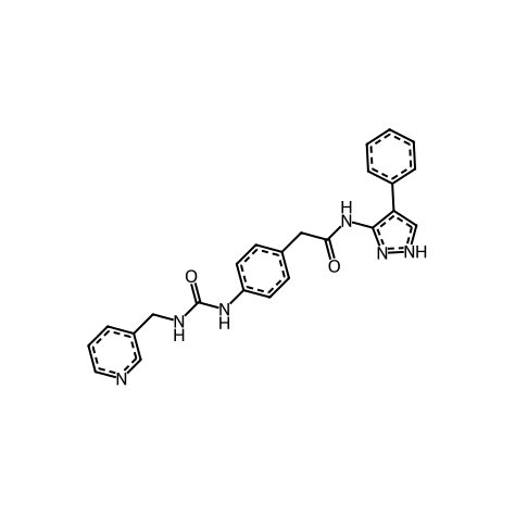 O=C(Cc1ccc(NC(=O)NCc2cccnc2)cc1)Nc1n[nH]cc1-c1ccccc1